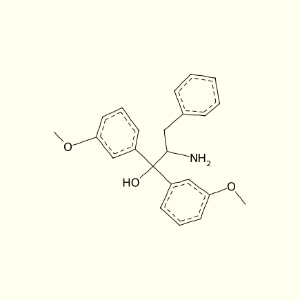 COc1cccc(C(O)(c2cccc(OC)c2)C(N)Cc2ccccc2)c1